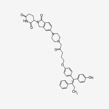 CC/C(=C(\c1ccc(O)cc1)c1ccc(OCCCC(=O)CN2CCN(c3ccc4c(c3)CN(C3CCC(=O)NC3=O)C4=O)CC2)cc1)c1ccccc1